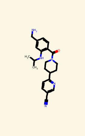 CC(C)Nc1cc(CN)ccc1C(=O)N1CCC(c2ccc(C#N)cn2)CC1